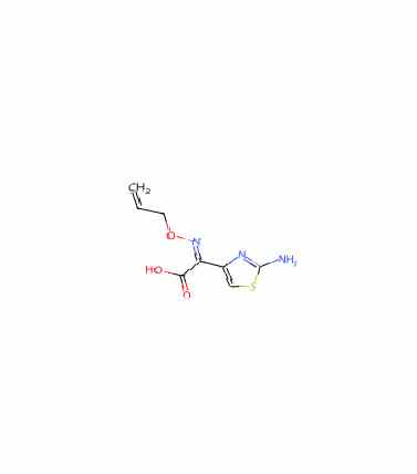 C=CCO/N=C(\C(=O)O)c1csc(N)n1